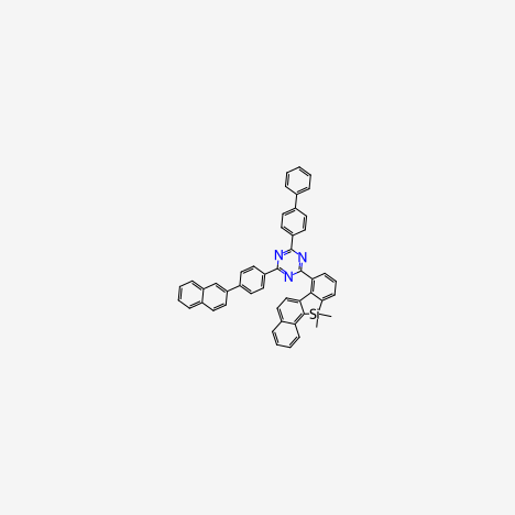 C[Si]1(C)c2cccc(-c3nc(-c4ccc(-c5ccccc5)cc4)nc(-c4ccc(-c5ccc6ccccc6c5)cc4)n3)c2-c2ccc3ccccc3c21